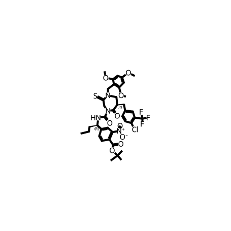 CCC[C@@H](NC(=O)N1CC(=S)N(Cc2c(OC)cc(OC)cc2OC)C[C@@H](Cc2ccc(Cl)c(C(F)(F)F)c2)C1=O)c1ccc(C(=O)OC(C)(C)C)c([N+](=O)[O-])c1